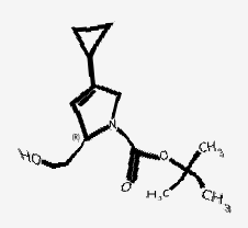 CC(C)(C)OC(=O)N1CC(C2CC2)=C[C@@H]1CO